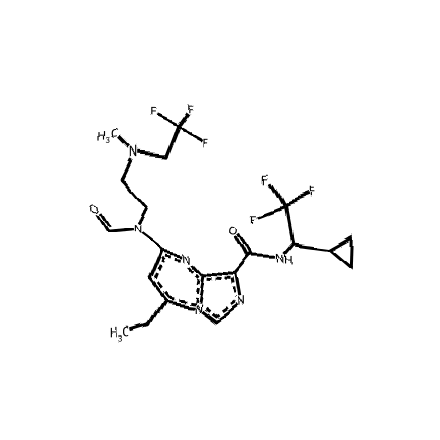 CCc1cc(N(C=O)CCN(C)CC(F)(F)F)nc2c(C(=O)NC(C3CC3)C(F)(F)F)ncn12